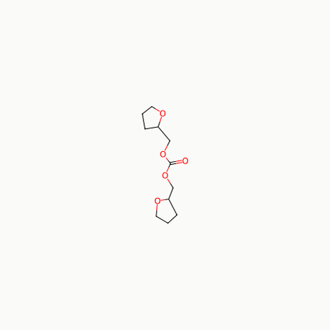 O=C(OCC1CCCO1)OCC1CCCO1